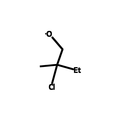 CCC(C)(Cl)C[O]